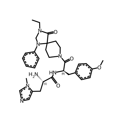 CCN1CN(c2ccccc2)C2(CCN(C(=O)[C@@H](Cc3ccc(OC)cc3)NC(=O)[C@@H](N)Cc3cncn3C)CC2)C1=O